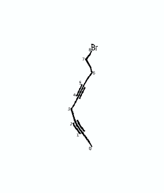 CC#CCC#CCCBr